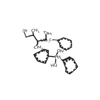 CC(CO)C(C)CO.O=C(O)c1ccccc1.O[PH](O)(c1ccccc1)c1ccccc1